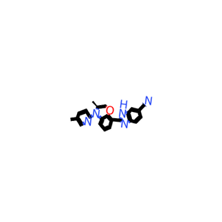 Cc1ccc(N2c3cccc(-c4nc5ccc(C#N)cc5[nH]4)c3OC[C@@H]2C)nc1